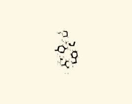 C=CC(=O)Nc1cc(Nc2ncc(C(=O)OC)c(-n3ccc4ccccc43)n2)c(C)cc1N(C)C[C@H]1CCCN1C